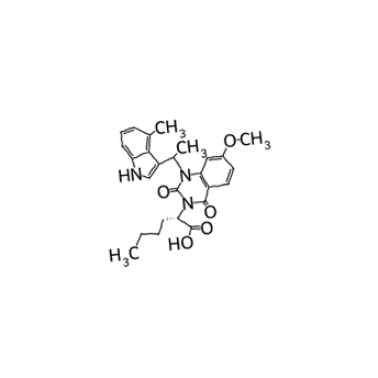 CCCC[C@@H](C(=O)O)n1c(=O)c2ccc(OC)cc2n(C(C)c2c[nH]c3cccc(C)c23)c1=O